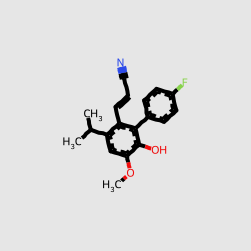 COc1cc(C(C)C)c(C=CC#N)c(-c2ccc(F)cc2)c1O